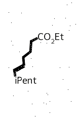 CCCC(C)C=CCCCC(=O)OCC